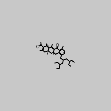 C=C1C(C(C)=O)=C(C)C[C@@]2(C)C[C@@]3(C)Cc4c(CC(CC(CC)CC)CC(CC)CC)ccc(C)c4C(=O)C3=C(C)[C@@]12C